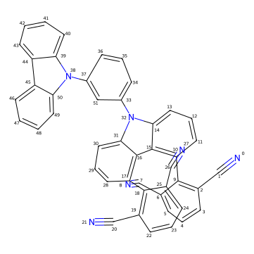 N#Cc1cccc(C#N)c1-c1cccc2c1c1c(-c3c(C#N)cccc3C#N)cccc1n2-c1cccc(-n2c3ccccc3c3ccccc32)c1